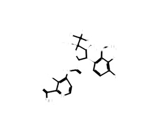 [2H]c1c(NC(=O)[C@@H]2O[C@](C)(C(F)(F)F)[C@@H](C)[C@H]2c2ccc(F)c(F)c2OC)ccnc1C(N)=O